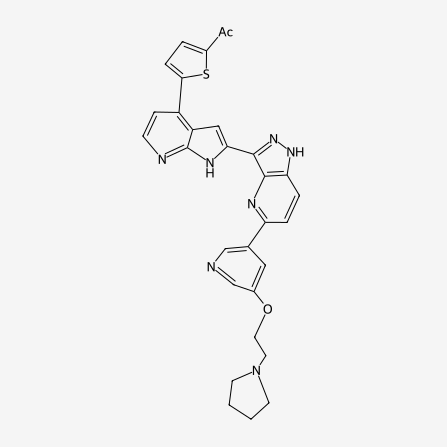 CC(=O)c1ccc(-c2ccnc3[nH]c(-c4n[nH]c5ccc(-c6cncc(OCCN7CCCC7)c6)nc45)cc23)s1